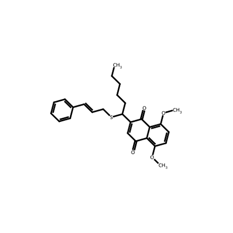 CCCCCC(SCC=Cc1ccccc1)C1=CC(=O)c2c(OC)ccc(OC)c2C1=O